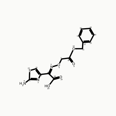 Nc1nc(/C(=N/OCC(=O)OCc2ccccc2)C(=O)O)cs1